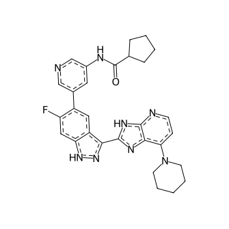 O=C(Nc1cncc(-c2cc3c(-c4nc5c(N6CCCCC6)ccnc5[nH]4)n[nH]c3cc2F)c1)C1CCCC1